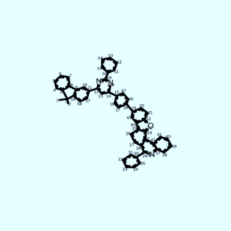 CC1(C)c2ccccc2-c2cc(-c3cc(-c4ccc(-c5ccc6oc7c(ccc8c(-c9ccccc9)nc9ccccc9c87)c6c5)cc4)nc(-c4ccccc4)n3)ccc21